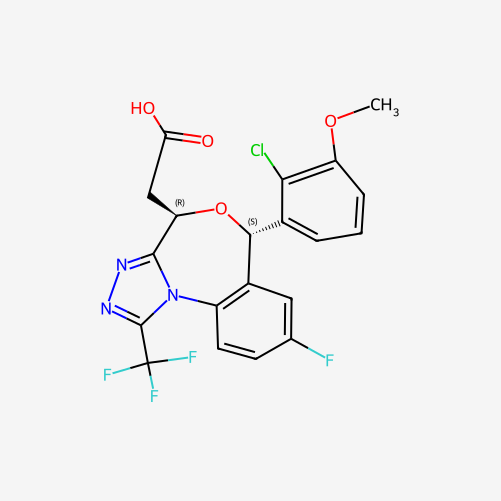 COc1cccc([C@H]2O[C@H](CC(=O)O)c3nnc(C(F)(F)F)n3-c3ccc(F)cc32)c1Cl